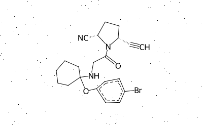 C#C[C@H]1CC[C@@H](C#N)N1C(=O)CNC1(Oc2ccc(Br)cc2)CCCCC1